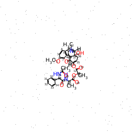 COc1ccc2c3c1O[C@H]1C(OC(=O)[C@H](C)OC(=O)[C@H](C)NC(=O)[C@@H](NC(C)=O)c4ccccc4)=CC[C@@]4(O)[C@@H](C2)N(C)CC[C@]314